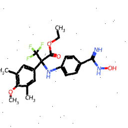 CCOC(=O)C(Nc1ccc(C(=N)NO)cc1)(c1cc(C)c(OC)c(C)c1)C(F)(F)F